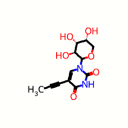 CC#Cc1cn(C2OC[C@@H](O)[C@@H](O)[C@@H]2O)c(=O)[nH]c1=O